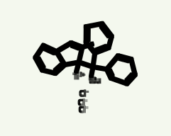 CC1=Cc2ccccc2[C]1([Ti+3])C(c1ccccc1)(c1ccccc1)C(C)(C)C.[Cl-].[Cl-].[Cl-]